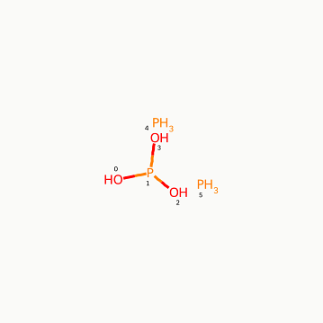 OP(O)O.P.P